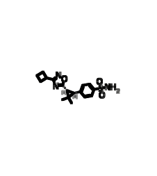 CC1(C)[C@H](c2ccc(S(N)(=O)=O)cc2)[C@H]1c1nc(C2CCC2)no1